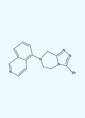 CC(C)c1nnc2n1CCN(c1cccc3cnccc13)C2